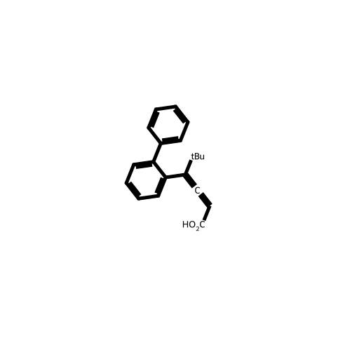 CC(C)(C)C(=C=CC(=O)O)c1ccccc1-c1ccccc1